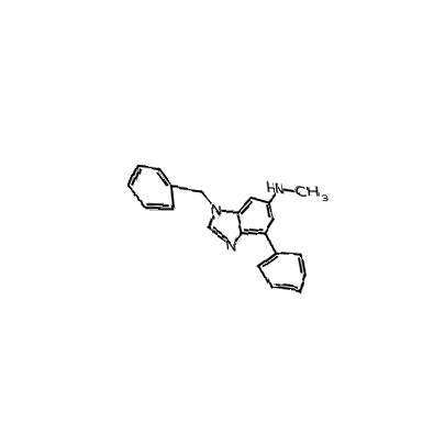 CNc1cc(-c2ccccc2)c2ncn(Cc3ccccc3)c2c1